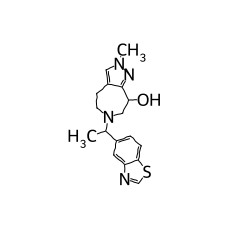 CC(c1ccc2scnc2c1)N1CCc2cn(C)nc2C(O)C1